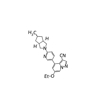 CCOc1cc(-c2ccc(N3C[C@H]4C[C@@H](C)C[C@H]4C3)nc2)c2c(C#N)cnn2c1